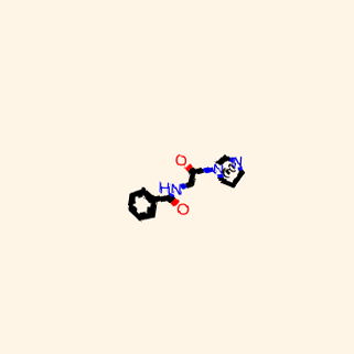 O=C(NCC(=O)N1CCN2CCC1CC2)c1ccccc1